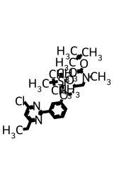 CCc1cc(Cl)nc(-c2cccc(OC[C@@H](CN(C)C(=O)OC(C)(C)C)O[Si](C)(C)C(C)(C)C)c2)n1